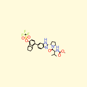 COC(=O)N[C@H](C(=O)N1CCC[C@H]1c1nc2ccc(-c3ccc(OS(=O)(=O)C(F)(F)F)c4c3C3CCC4C3)cc2[nH]1)C(C)C